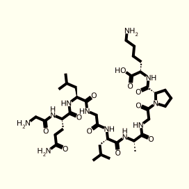 CC(C)C[C@H](NC(=O)CNC(=O)[C@H](CC(C)C)NC(=O)[C@H](CCC(N)=O)NC(=O)CN)C(=O)N[C@@H](C)C(=O)NCC(=O)N1CCC[C@H]1C(=O)N[C@@H](CCCCN)C(=O)O